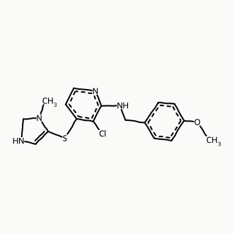 COc1ccc(CNc2nccc(SC3=CNCN3C)c2Cl)cc1